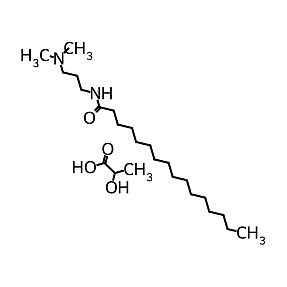 CC(O)C(=O)O.CCCCCCCCCCCCCCCC(=O)NCCCN(C)C